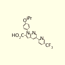 CC(C)Oc1ccc(-n2c(C(=O)O)cc3cc(-c4ccc(C(F)(F)F)cn4)cnc32)cc1